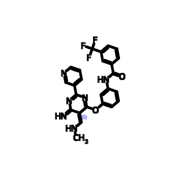 CN/C=C1\C(=N)N=C(c2cccnc2)N=C1Oc1cccc(NC(=O)c2cccc(C(F)(F)F)c2)c1